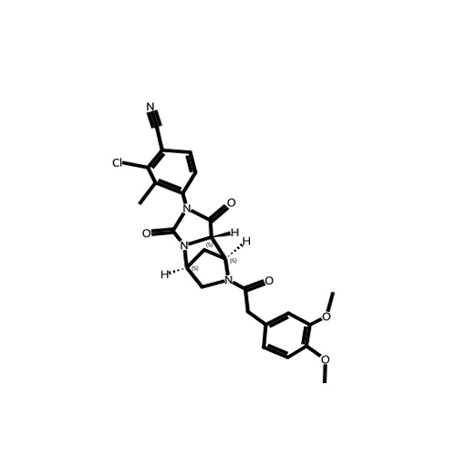 COc1ccc(CC(=O)N2C[C@@H]3C[C@H]2[C@H]2C(=O)N(c4ccc(C#N)c(Cl)c4C)C(=O)N32)cc1OC